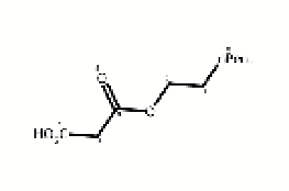 CCCCCCCOC(=O)CC(=O)O